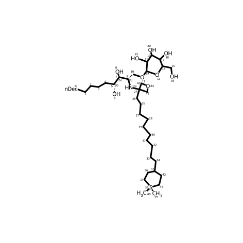 CCCCCCCCCCCCCC[C@@H](O)[C@@H](O)[C@H](COC1OC(CO)C(O)C(O)C1O)NC1(CCCCCCCCCCC2CCS(C)(C)CC2)COC1